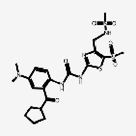 CN(C)c1ccc(NC(=O)Nc2nc(CNS(C)(=O)=O)c(S(C)(=O)=O)s2)c(C(=O)C2CCCC2)c1